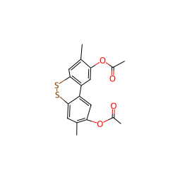 CC(=O)Oc1cc2c(cc1C)SSc1cc(C)c(OC(C)=O)cc1-2